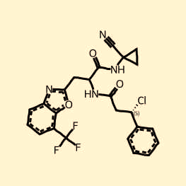 N#CC1(NC(=O)C(Cc2nc3cccc(C(F)(F)F)c3o2)NC(=O)C[C@H](Cl)c2ccccc2)CC1